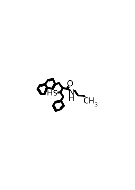 CCCCNC(=O)C(Cc1ccc2ccccc2c1)C(S)Cc1ccccc1